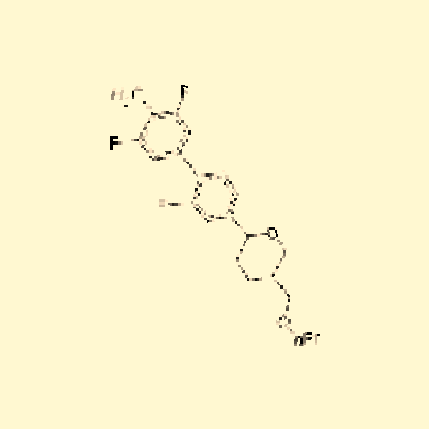 CCCOCC1CCC(c2ccc(-c3cc(F)c(C)c(F)c3)c(F)c2)OC1